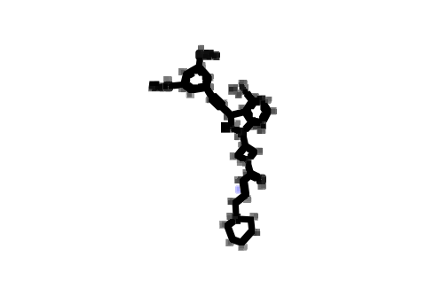 COc1cc(C#CC2NN(C3CN(C(=O)/C=C/CN4CCCCC4)C3)c3ncnc(N)c32)cc(OC)c1